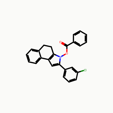 O=C(On1c(-c2cccc(Cl)c2)cc2c1CCc1ccccc1-2)c1ccccc1